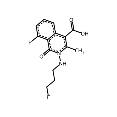 Cc1c(C(=O)O)c2cccc(F)c2c(=O)n1NCCCF